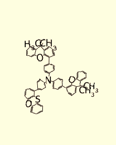 CC1(C)c2ccccc2Oc2c(-c3ccc(N(c4ccc(-c5cccc6c5Oc5ccccc5C6(C)C)cc4)c4ccc(-c5cccc6c5Sc5ccccc5O6)cc4)cc3)cccc21